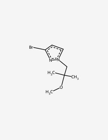 COC(C)(C)Cn1ccc(Br)n1